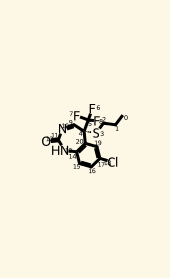 CCCS[C@@]1(C(F)(F)F)C=NC(=O)Nc2ccc(Cl)cc21